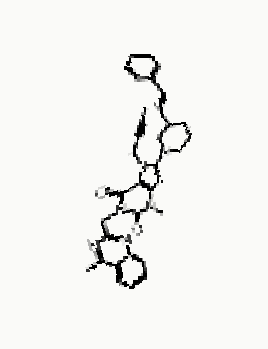 CC#CCn1c(N2CCCC(N=Cc3ccccc3)C2)nc2c1c(=O)n(Cc1nc(C)c3ccccc3n1)c(=O)n2C